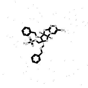 CC1=CN2C(=NO1)O[C@@H]1[C@H]2O[C@@](COCc2ccccc2)(COS(C)(=O)=O)[C@H]1OCc1ccccc1